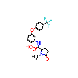 CN1C(=O)CCC1C(=O)Nc1cc(Oc2ccc(C(F)(F)F)cc2)ccc1O